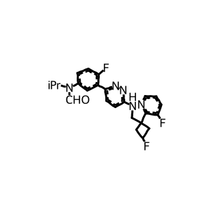 CC(C)N(C=O)c1ccc(F)c(-c2ccc(NCC3(c4ncccc4F)CC(F)C3)nn2)c1